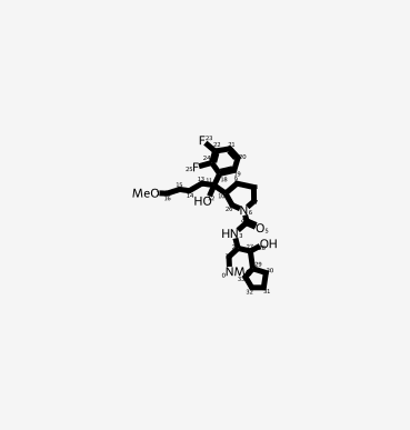 CNCC(NC(=O)N1CCCC(C(O)(CCCCOC)c2cccc(F)c2F)C1)C(O)C1CCCC1